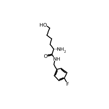 N[C@@H](CCCCO)C(=O)NCc1ccc(F)cc1